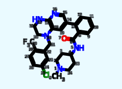 CN1CCC(NC(=O)c2ccccc2-c2cnc3c(c2)N(Cc2cc(Cl)ccc2C(F)(F)F)CCN3)CC1